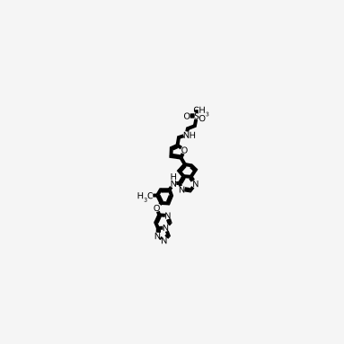 Cc1cc(Nc2ncnc3ccc(-c4ccc(CNCCS(C)(=O)=O)o4)cc23)ccc1Oc1cc2nncn2cn1